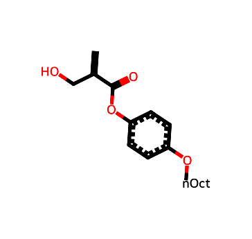 C=C(CO)C(=O)Oc1ccc(OCCCCCCCC)cc1